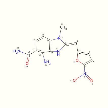 CN1C(=Cc2ccc([N+](=O)[O-])o2)Nc2c1ccc(C(N)=O)c2N